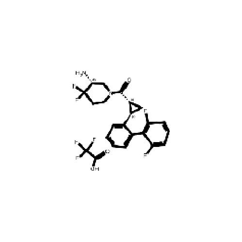 N[C@@H]1CN(C(=O)[C@@H]2C[C@H]2c2ccccc2-c2c(F)cccc2F)CCC1(F)F.O=C(O)C(F)(F)F